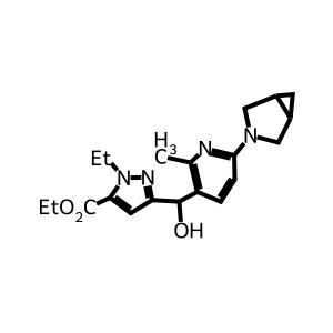 CCOC(=O)c1cc(C(O)c2ccc(N3CC4CC4C3)nc2C)nn1CC